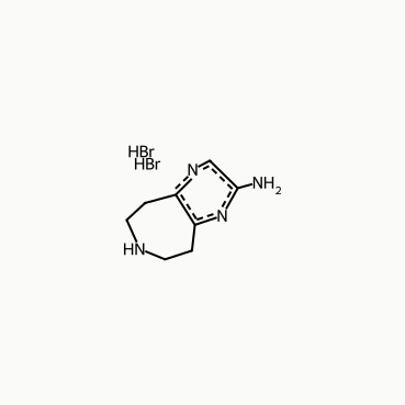 Br.Br.Nc1cnc2c(n1)CCNCC2